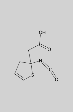 O=C=NC1(CC(=O)O)CC=CS1